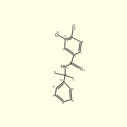 CC(C)(NC(=O)c1ccc(Cl)c(Cl)c1)c1ccccc1